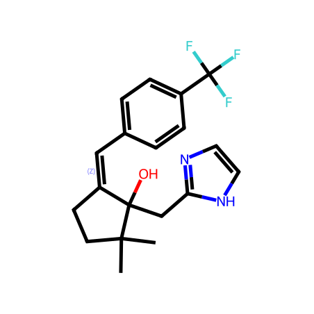 CC1(C)CC/C(=C/c2ccc(C(F)(F)F)cc2)C1(O)Cc1ncc[nH]1